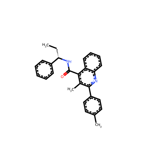 CC[C@H](NC(=O)c1c(C)c(-c2ccc(C)cc2)nc2ccccc12)c1ccccc1